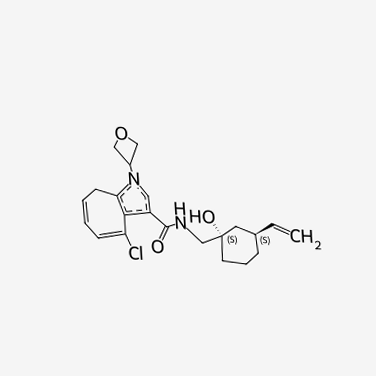 C=C[C@H]1CCC[C@@](O)(CNC(=O)c2cn(C3COC3)c3c2C(Cl)=CC=CC3)C1